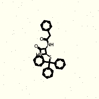 O=C(Cc1ccccc1)N[C@@H]1C(=O)N[C@@H]1SC(c1ccccc1)(c1ccccc1)c1ccccc1